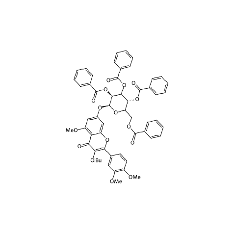 COc1ccc(-c2oc3cc(O[C@@H]4OC(COC(=O)c5ccccc5)[C@@H](OC(=O)c5ccccc5)C(OC(=O)c5ccccc5)[C@@H]4OC(=O)c4ccccc4)cc(OC)c3c(=O)c2OCC(C)C)cc1OC